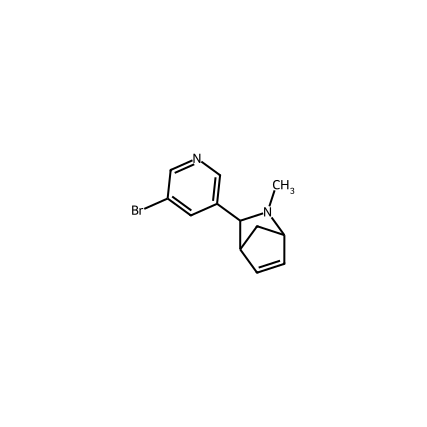 CN1C2C=CC(C2)C1c1cncc(Br)c1